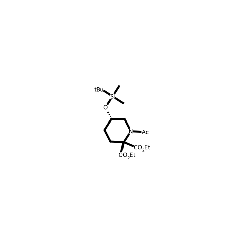 CCOC(=O)C1(C(=O)OCC)CC[C@H](O[Si](C)(C)C(C)(C)C)CN1C(C)=O